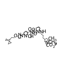 CC1(C)CC(CCCNc2cccc(S(=O)(=O)NC(=O)c3ccc(-n4ccc(OCCC5C6(CC6)C56CC6)n4)nc3Cl)n2)CN1C(=O)O